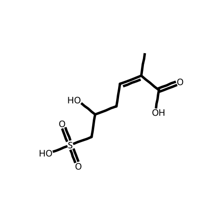 CC(=CCC(O)CS(=O)(=O)O)C(=O)O